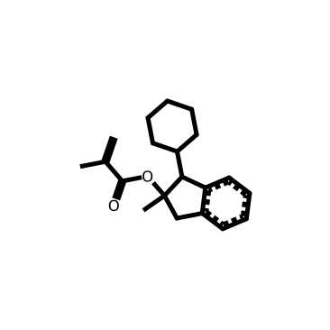 C=C(C)C(=O)OC1(C)Cc2ccccc2C1C1CCCCC1